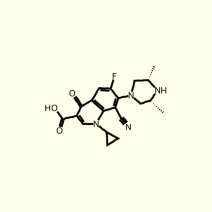 C[C@@H]1CN(c2c(F)cc3c(=O)c(C(=O)O)cn(C4CC4)c3c2C#N)C[C@H](C)N1